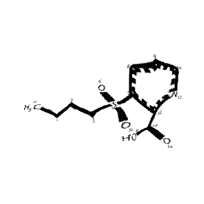 CCCCS(=O)(=O)c1cccnc1C(=O)O